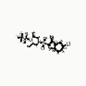 CCCN(CC(C)O[Si](C)(C)C(C)(C)C)S(=O)(=O)c1sc2ccc(Cl)cc2c1Br